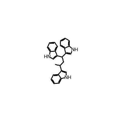 CC(CC(c1c[nH]c2ccccc12)c1c[nH]c2ccccc12)c1c[nH]c2ccccc12